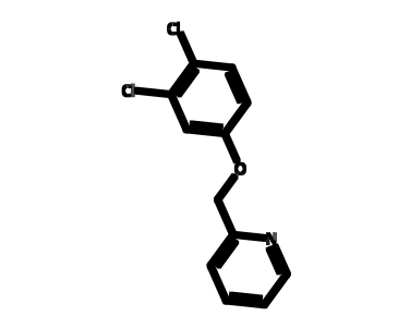 Clc1ccc(OCc2ccccn2)cc1Cl